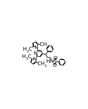 Cc1ccc(C)n1-c1cc(C(CCNS(=O)(=O)c2ccccc2)c2ccccc2)cc(-n2c(C)ccc2C)n1